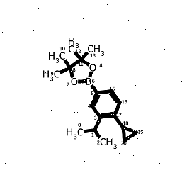 CC(C)c1cc(B2OC(C)(C)C(C)(C)O2)ccc1C1CC1